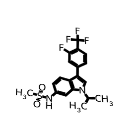 CC(C)n1cc(-c2ccc(C(F)(F)F)c(F)c2)c2ccc(NS(C)(=O)=O)cc21